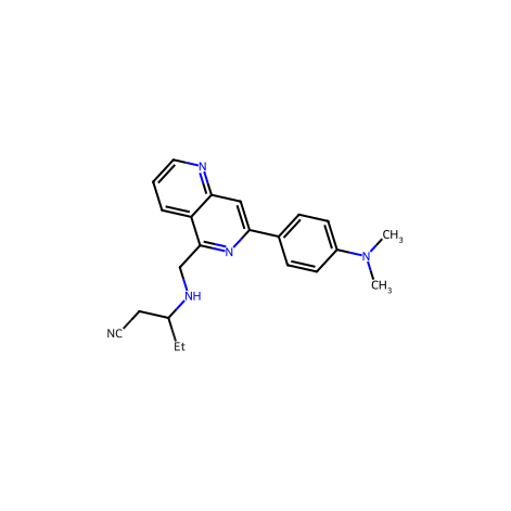 CCC(CC#N)NCc1nc(-c2ccc(N(C)C)cc2)cc2ncccc12